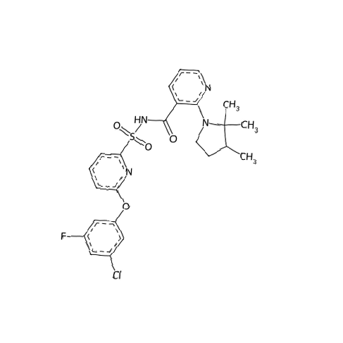 CC1CCN(c2ncccc2C(=O)NS(=O)(=O)c2cccc(Oc3cc(F)cc(Cl)c3)n2)C1(C)C